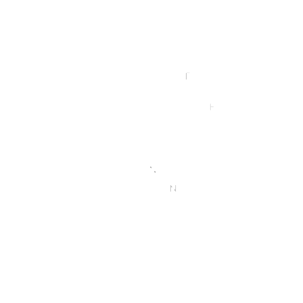 CCc1cnn(CCC(F)(F)F)c1C